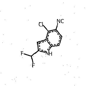 [C-]#[N+]c1ccc2[nH]c(C(F)F)cc2c1Cl